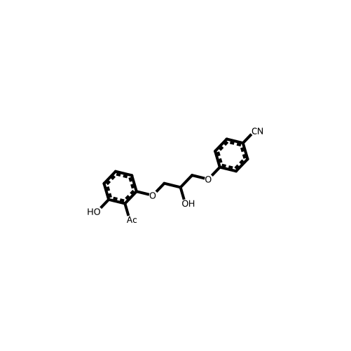 CC(=O)c1c(O)cccc1OCC(O)COc1ccc(C#N)cc1